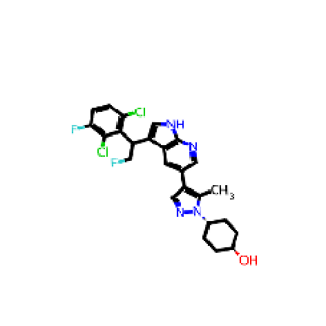 Cc1c(-c2cnc3[nH]cc(C(CF)c4c(Cl)ccc(F)c4Cl)c3c2)cnn1[C@H]1CC[C@H](O)CC1